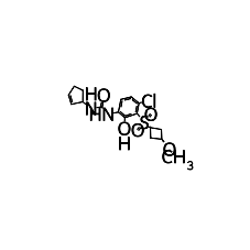 CO[C@H]1C[C@@H](S(=O)(=O)c2c(Cl)ccc(NC(=O)NC3C=CCC3)c2O)C1